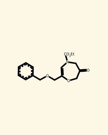 CCOC(=O)N1C=C(COCc2ccccc2)OCC(=O)C1